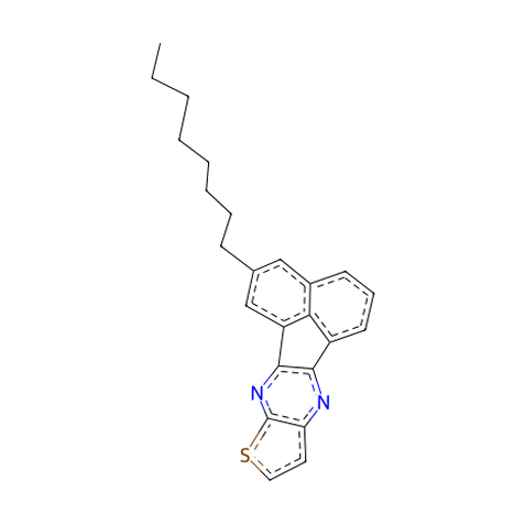 CCCCCCCCc1cc2c3c(cccc3c1)-c1nc3ccsc3nc1-2